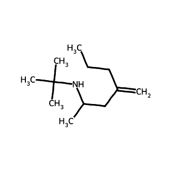 C=C(CCC)CC(C)NC(C)(C)C